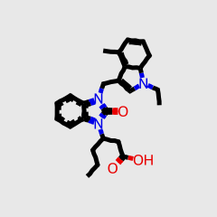 CCCC(CC(=O)O)n1c(=O)n(CC2=CN(CC)C3CC=CC(C)=C23)c2ccccc21